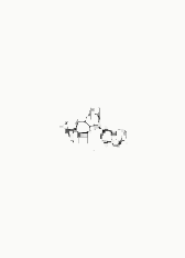 CN1Cc2cc(C3(N)CC3)ccc2C(c2ccc3ccoc3c2)C1